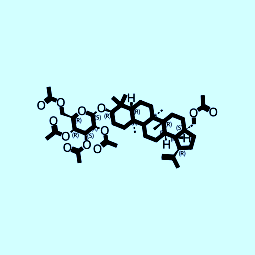 C=C(C)[C@@H]1CC[C@]2(COC(C)=O)CC[C@]3(C)[C@H](CCC4[C@@]5(C)CC[C@@H](O[C@H]6O[C@H](COC(C)=O)[C@@H](OC(C)=O)[C@H](OC(C)=O)[C@H]6OC(C)=O)C(C)(C)[C@@H]5CC[C@]43C)[C@@H]12